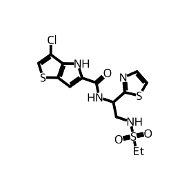 CCS(=O)(=O)NCC(NC(=O)c1cc2scc(Cl)c2[nH]1)c1nccs1